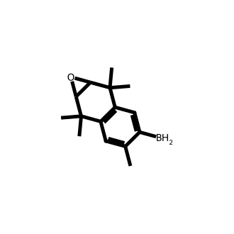 Bc1cc2c(cc1C)C(C)(C)C1OC1C2(C)C